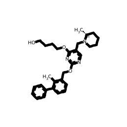 Cc1c(COc2ncc(CN3CCCC[C@H]3C)c(OCCCCO)n2)cccc1-c1ccccc1